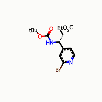 CCOC(=O)C[C@@H](NC(=O)OC(C)(C)C)c1ccnc(Br)c1